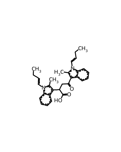 CCC=Cn1c(C)c(C(=O)CC(C(=O)O)c2c(C)n(C=CCC)c3ccccc23)c2ccccc21